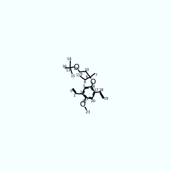 C=Cc1cc(OC(C)(CC)CCOC(C)(C)C)c(C=C)cc1OC